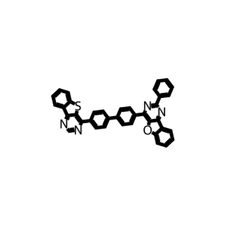 c1ccc(-c2nc(-c3ccc(-c4ccc(-c5ncnc6c5sc5ccccc56)cc4)cc3)c3oc4ccccc4c3n2)cc1